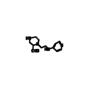 O=CC1CNCCN1CCNc1ccncc1